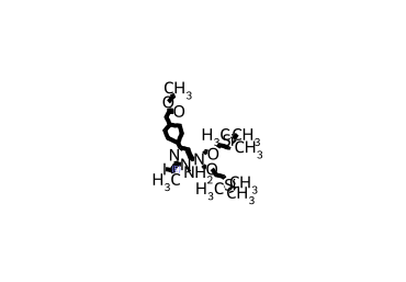 CCOC(=O)CC1CCC(C2=N/C(=C(/C)I)N(N)C(N(COCC[Si](C)(C)C)COCC[Si](C)(C)C)=C2)CC1